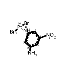 N.Nc1cccc([N+](=O)[O-])c1.[Br][Pt][Br]